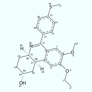 CCOc1cc2c(cc1OC)C(c1ccc(SC)cc1)=N[C@@H]1CC[C@@H](O)C[C@H]21